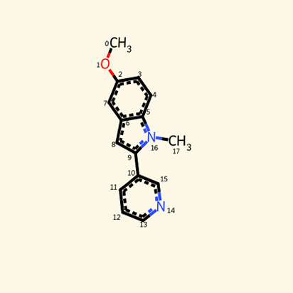 COc1ccc2c(c1)cc(-c1cccnc1)n2C